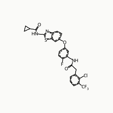 O=C(Cc1cccc(C(F)(F)F)c1Cl)Nc1cc(Oc2ccc3nc(NC(=O)C4CC4)sc3c2)ccc1F